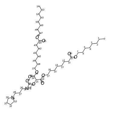 CCCCCCCCOC(=O)CCCCCCCOC(=O)C(OC(=O)NCCCN1CCCC1)C(=O)OCCCCCCCC(=O)OCCCCCCCC